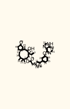 C=C[C@]1(C)C[C@@H](OC(=O)Cn2cc(-c3cccc(Oc4ncnc5[nH]cnc45)c3)nn2)C(C)(C)C(C)CC[C@]2(CCC(=O)C2)[C@@H](C)[C@@H]1O